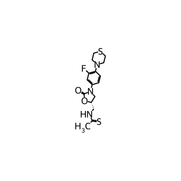 CC(=S)NC[C@H]1CN(c2ccc(N3CCSCC3)c(F)c2)C(=O)O1